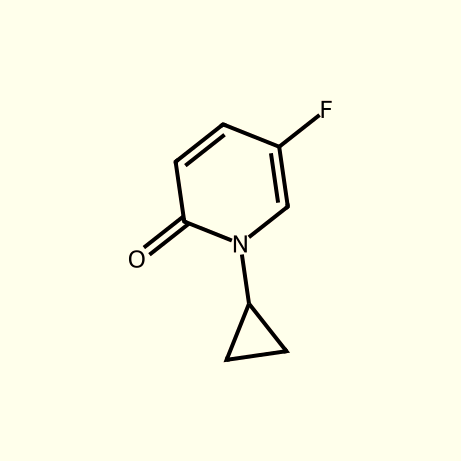 O=c1ccc(F)cn1C1CC1